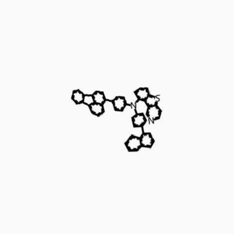 c1ccc2c(c1)-c1cccc3c(-c4ccc(N(c5ccc(-c6cccc7ccccc67)cc5)c5cccc6sc7ccncc7c56)cc4)ccc-2c13